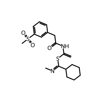 C=C(NC(=O)Cc1cccc(S(C)(=O)=O)c1)S/C(=N\C)C1CCCCC1